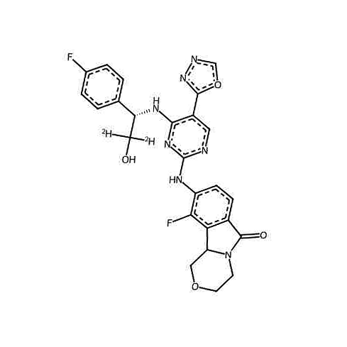 [2H]C([2H])(O)[C@@H](Nc1nc(Nc2ccc3c(c2F)C2COCCN2C3=O)ncc1-c1nnco1)c1ccc(F)cc1